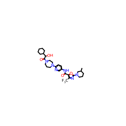 CC1CCCN(c2nc(C(F)(F)F)c(C(=O)Nc3ccc(N4CCCN(C(=O)[C@H](O)C5CCCCC5)CC4)nc3)o2)C1